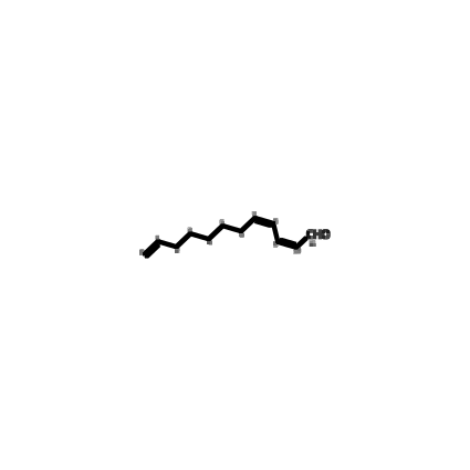 C=CCCCCC/C=C\C=C/C=O